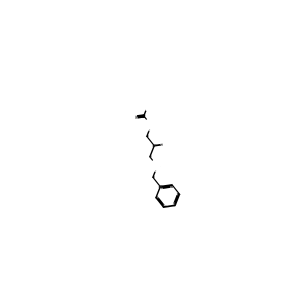 CCCCCCCCC(=O)OCC(O)COCc1ccccc1